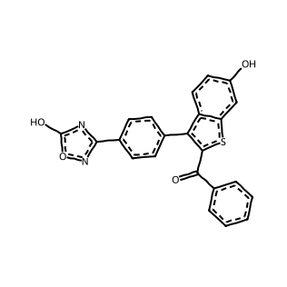 O=C(c1ccccc1)c1sc2cc(O)ccc2c1-c1ccc(-c2noc(O)n2)cc1